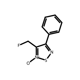 [O-][n+]1snc(-c2ccccc2)c1CF